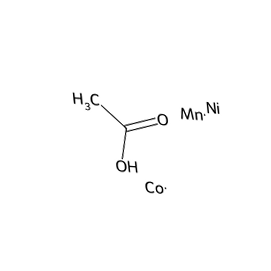 CC(=O)O.[Co].[Mn].[Ni]